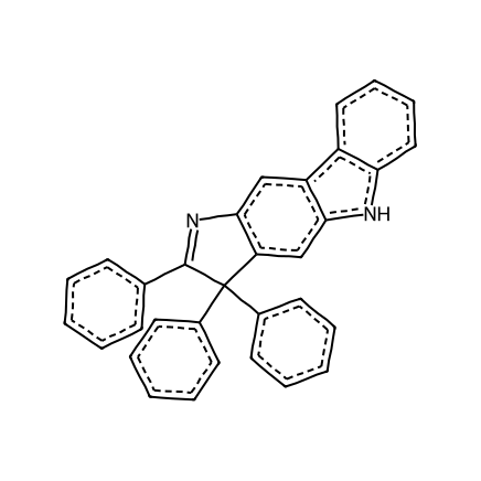 c1ccc(C2=Nc3cc4c(cc3C2(c2ccccc2)c2ccccc2)[nH]c2ccccc24)cc1